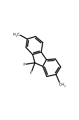 Cc1ccc2c(c1)C(F)(F)c1cc(C)ccc1-2